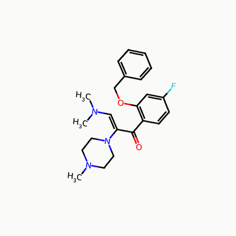 CN(C)C=C(C(=O)c1ccc(F)cc1OCc1ccccc1)N1CCN(C)CC1